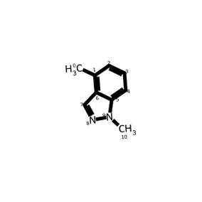 Cc1cccc2c1cnn2C